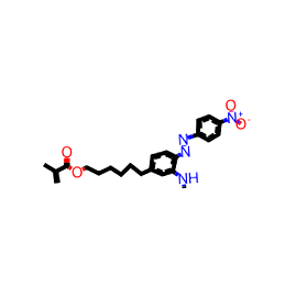 C=C(C)C(=O)OCCCCCCc1ccc(N=Nc2ccc([N+](=O)[O-])cc2)c(NC)c1